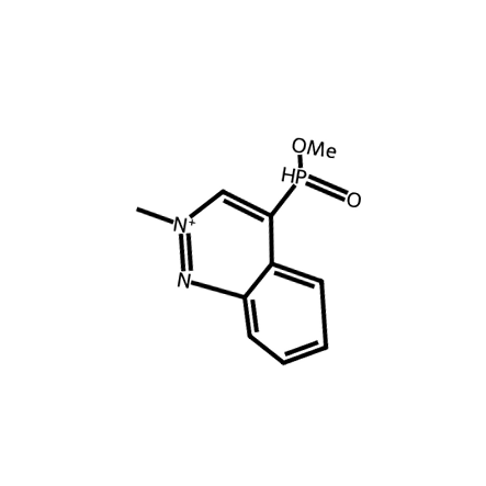 CO[PH](=O)c1c[n+](C)nc2ccccc12